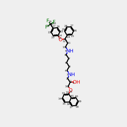 OC(CNCCCCCNCCC(Oc1ccc(C(F)(F)F)cc1)c1ccccc1)COc1cccc2ccccc12